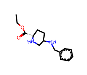 CCOC(=O)[C@@H]1CCC(NCc2ccccc2)CN1